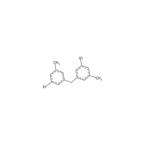 CCc1cc(C)cc(Cc2cc(C)cc(CC)c2)c1